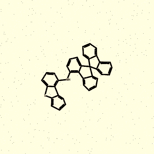 c1ccc2c(c1)-c1ccccc1C21c2ccccc2-c2c(Nc3cccc4sc5ccccc5c34)cccc21